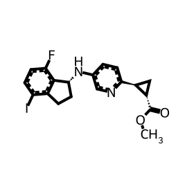 COC(=O)[C@H]1C[C@@H]1c1ccc(N[C@@H]2CCc3c(I)ccc(F)c32)cn1